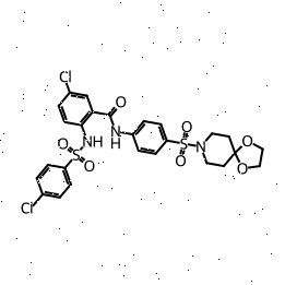 O=C(Nc1ccc(S(=O)(=O)N2CCC3(CC2)OCCO3)cc1)c1cc(Cl)ccc1NS(=O)(=O)c1ccc(Cl)cc1